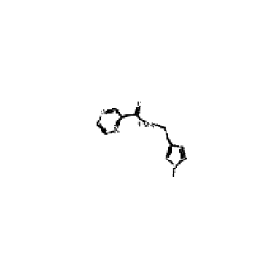 Cn1ccc(CNC(=O)c2cnccn2)c1